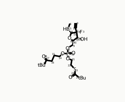 C#C[C@]1(F)[C@H](BC)O[C@H](COP(=O)(OCCCC(=O)C(C)(C)C)OCCSC(=O)C(C)(C)C)[C@H]1O